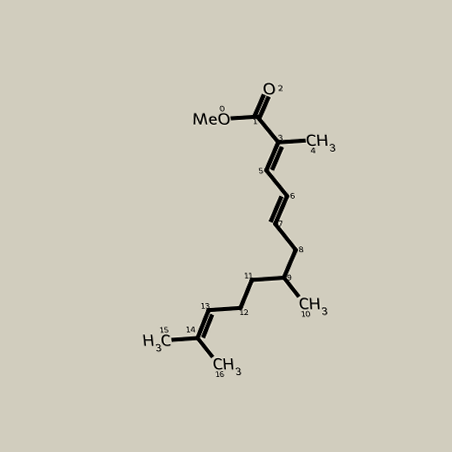 COC(=O)C(C)=CC=CCC(C)CCC=C(C)C